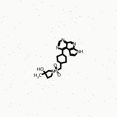 CC1(O)CCN(S(=O)(=O)CC2CCC(c3ncnc4cnc5[nH]ccc5c34)CC2)C1